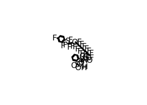 O=S(=O)(O)c1ccccc1S(=O)(=O)NS(=O)(=O)C(F)(F)C(F)(F)C(F)(F)C(F)(F)C(F)(F)C(F)(F)OC(F)(F)C(F)(F)Sc1ccc(F)cc1F